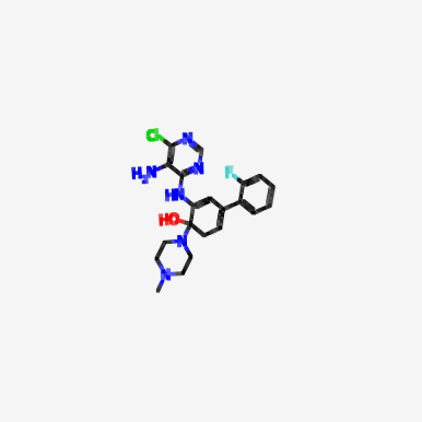 CN1CCN(C2(O)CC=C(c3ccccc3F)C=C2Nc2ncnc(Cl)c2N)CC1